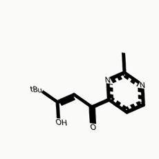 Cc1nccc(C(=O)/C=C(\O)C(C)(C)C)n1